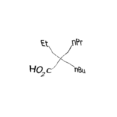 CCCCC(CC)(CCC)C(=O)O